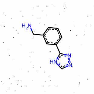 NCc1cccc(-c2nn[c][nH]2)c1